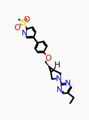 CCc1cnc(N2CC3[C@@H](COc4ccc(-c5ccc(S(C)(=O)=O)nc5)cc4)[C@@H]3C2)nc1